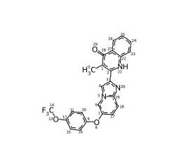 Cc1c(-c2cn3cc(Oc4ccc(OC(F)(F)F)cc4)ccc3n2)[nH]c2ccccc2c1=O